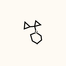 [CH]1CCN(C2(C3CC3)CC2)CC1